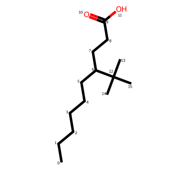 CCCCCCC(CCC(=O)O)C(C)(C)C